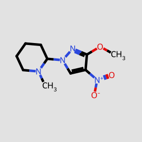 COc1nn(C2CCCCN2C)cc1[N+](=O)[O-]